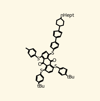 CCCCCCCC1CCC(c2ccc(-c3ccc(Sc4ccc(Sc5ccc(C)cc5)c5c4C(=O)c4c(Sc6ccc(C(C)(C)C)cc6)ccc(Sc6ccc(C(C)(C)C)cc6)c4C5=O)cc3)cc2)CC1